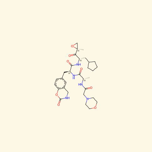 C[C@H](NC(=O)CN1CCOCC1)C(=O)N[C@@H](Cc1ccc2c(c1)CNC(=O)O2)C(=O)N[C@@H](CC1CCCC1)C(=O)[C@]1(C)CO1